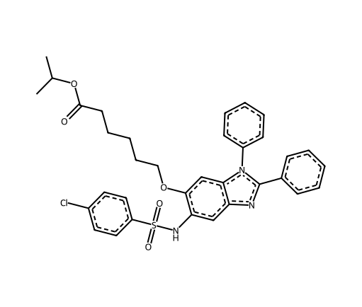 CC(C)OC(=O)CCCCCOc1cc2c(cc1NS(=O)(=O)c1ccc(Cl)cc1)nc(-c1ccccc1)n2-c1ccccc1